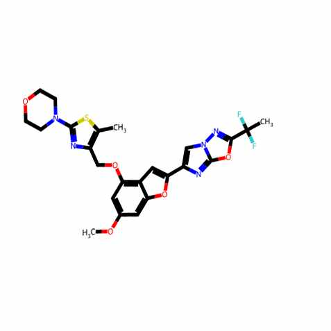 COc1cc(OCc2nc(N3CCOCC3)sc2C)c2cc(-c3cn4nc(C(C)(F)F)oc4n3)oc2c1